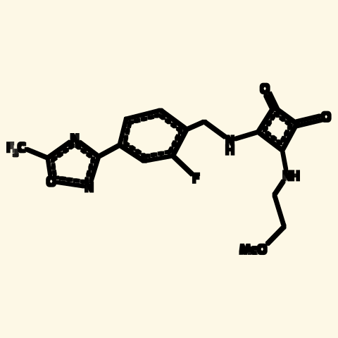 COCCNc1c(NCc2ccc(-c3noc(C(F)(F)F)n3)cc2F)c(=O)c1=O